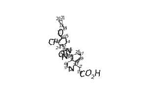 O=C(O)CCc1nccc2c(-c3noc(-c4ccc(OCC5CC5)c(Cl)c4)n3)cccc12